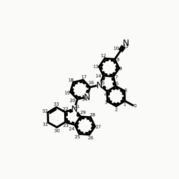 Cc1ccc2c(c1)c1cc(C#N)ccc1n2-c1cccc(-n2c3c(c4ccccc42)CCC=C3)n1